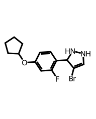 Fc1cc(OC2CCCC2)ccc1C1NNC=C1Br